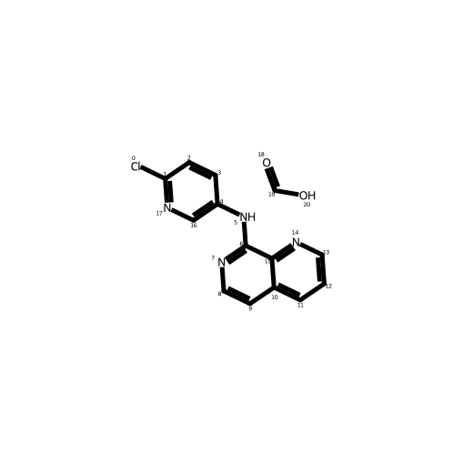 Clc1ccc(Nc2nccc3cccnc23)cn1.O=CO